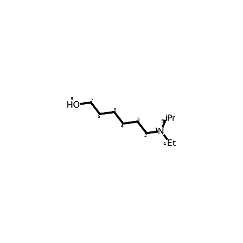 CCN(CCCCCCO)C(C)C